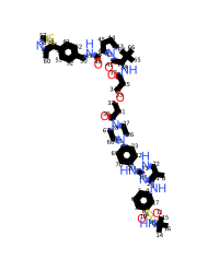 CC1=C(Nc2cccc(S(=O)(=O)NC(C)(C)C)c2)N=C(Nc2ccc(N3CCN(C(=O)CCOCCC(=O)N[C@H](C(=O)N4CCC[C@H]4C(=O)NCc4ccc(-c5scnc5C)cc4)C(C)(C)C)CC3)cc2)NC1